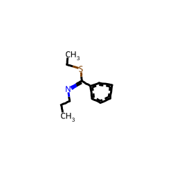 CCC/N=C(/SCC)c1ccccc1